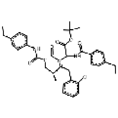 CCc1ccc(NC(=O)OC[C@H](C)N(Cc2ccccc2Cl)N(C=O)C(NC(=O)c2ccc(CC)cc2)C(=O)OC(C)(C)C)cc1